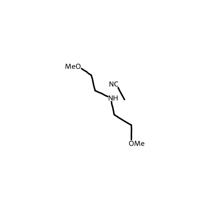 CC#N.COCCNCCOC